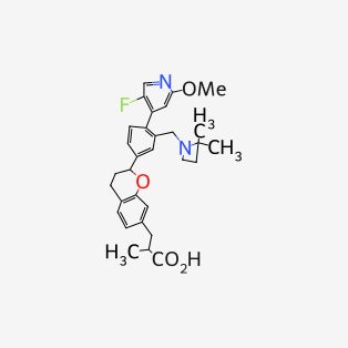 COc1cc(-c2ccc(C3CCc4ccc(CC(C)C(=O)O)cc4O3)cc2CN2CCC2(C)C)c(F)cn1